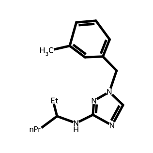 CCCC(CC)Nc1ncn(Cc2cccc(C)c2)n1